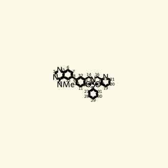 CNc1ncnc2ccc(-c3cccc(CN(Cc4ccccn4)S(=O)(=O)c4ccccc4)c3)cc12